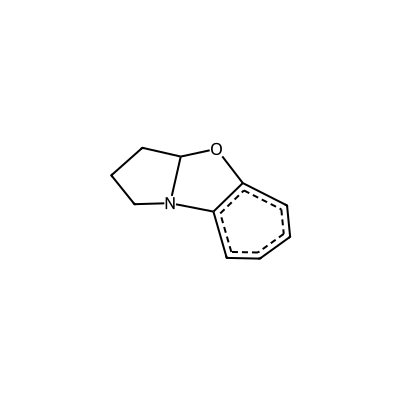 c1ccc2c(c1)OC1CCCN21